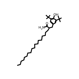 CCCCCCCCCCCCCCCCCCC(Cc1cc(C(C)(C)C)c(O)c(C(C)(C)C)c1)C(N)=O